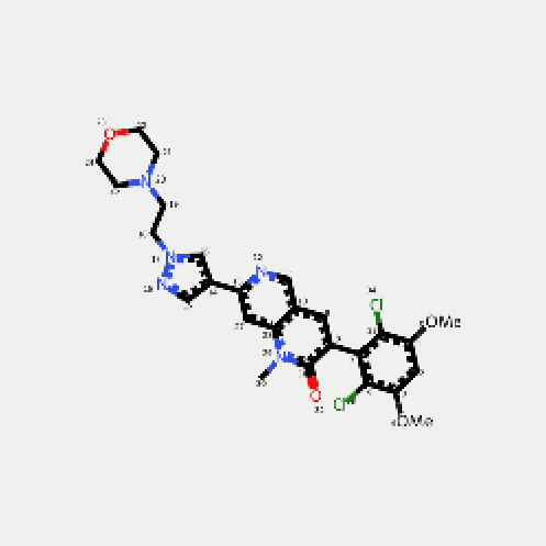 COc1cc(OC)c(Cl)c(-c2cc3cnc(-c4cnn(CCN5CCOCC5)c4)cc3n(C)c2=O)c1Cl